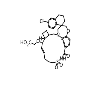 O=C(O)CO[C@@H]1/C=C/CCCS(=O)(=O)NC(=O)c2ccc3c(c2)N(CC2CC[C@H]21)CC1(CCCc2cc(Cl)ccc21)CO3